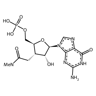 CNC(=O)C[C@H]1[C@@H](O)[C@H](n2cnc3c(=O)[nH]c(N)nc32)O[C@@H]1COP(=O)(O)O